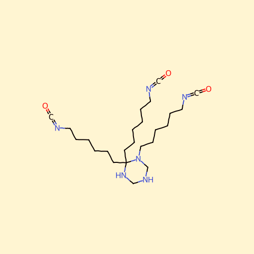 O=C=NCCCCCCN1CNCNC1(CCCCCCN=C=O)CCCCCCN=C=O